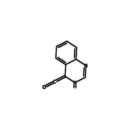 O=C=C1NC=Nc2ccccc21